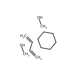 C1CCCCC1.C=CC=C.CO.CO